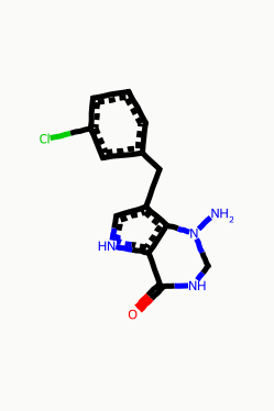 NN1CNC(=O)c2[nH]cc(Cc3cccc(Cl)c3)c21